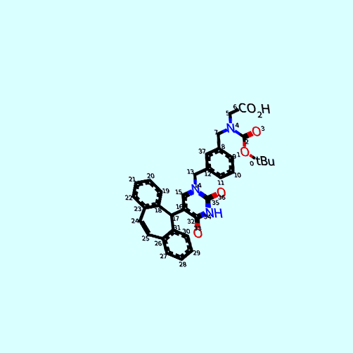 CC(C)(C)OC(=O)N(CC(=O)O)Cc1cccc(Cn2cc(C3c4ccccc4C=Cc4ccccc43)c(=O)[nH]c2=O)c1